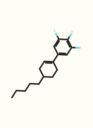 CCCCCC1CC=C(c2cc(F)c(F)c(F)c2)CC1